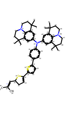 CC1(C)CCN2CCC(C)(C)c3cc(N(c4ccc(-c5ccc(C6=CCC(/C=C(\C#N)C(=O)O)S6)s5)cc4)c4cc5c6c(c4)C(C)(C)CCN6CCC5(C)C)cc1c32